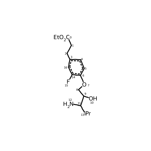 CCOC(=O)CCc1ccc(OCC(O)C(N)C(C)C)c(F)c1